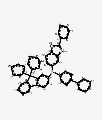 c1ccc(-c2ccc(N(c3ccc4c(c3)C(c3ccccc3)(c3ccccc3)c3ccccc3-4)c3ccc4oc(-c5ccccc5)nc4c3)cc2)cc1